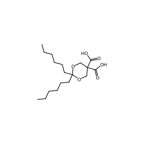 CCCCCCC1(CCCCCC)OCC(C(=O)O)(C(=O)O)CO1